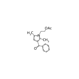 CC(=O)OCCn1c(C)cc(C(=O)c2ccccc2)c1C